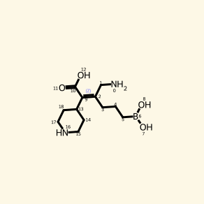 NC/C(CCCB(O)O)=C(\C(=O)O)C1CCNCC1